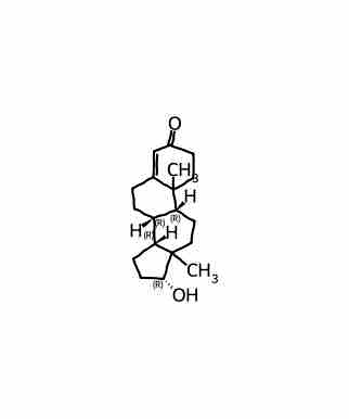 CC12CCC(=O)C=C1CC[C@@H]1[C@H]2CCC2(C)[C@H](O)CC[C@H]12